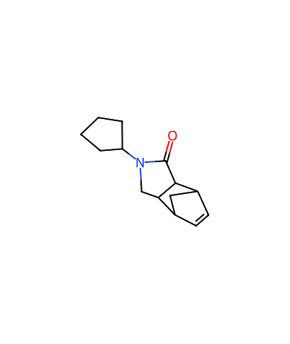 O=C1C2C3C=CC(C3)C2CN1C1CCCC1